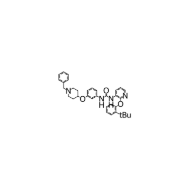 CC(C)(C)c1ccccc1Oc1ncccc1NC(=O)Nc1cccc(OC2CCN(Cc3ccccc3)CC2)c1